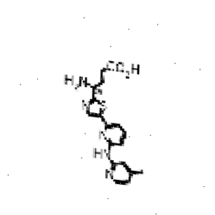 Cc1ccnc(Nc2cccc(-c3cnc([C@@H](N)CCC(=O)O)s3)n2)c1